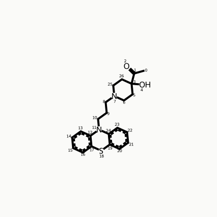 CC(=O)C1(O)CCN(CCCN2c3ccccc3Sc3ccccc32)CC1